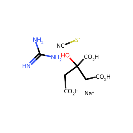 N#C[S-].N=C(N)N.O=C(O)CC(O)(CC(=O)O)C(=O)O.[Na+]